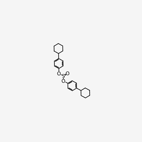 O=S(Oc1ccc(C2CCCCC2)cc1)Oc1ccc(C2CCCCC2)cc1